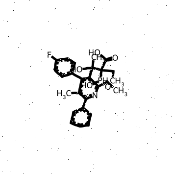 CCc1nc(-c2ccccc2)c(C)c(-c2ccc(F)cc2)c1C(C)(O)C(CC)(C(=O)O)[PH](=O)O